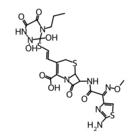 CCCN1C(=O)C(=O)NN(O)C1(O)SC=CC1=C(C(=O)O)N2C(=O)C(NC(=O)C(=NOC)c3csc(N)n3)C2SC1